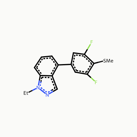 CCn1ncc2c(-c3cc(F)c(SC)c(F)c3)cccc21